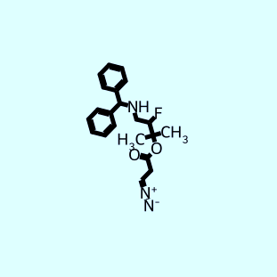 CC(C)(OC(=O)CC=[N+]=[N-])C(F)CNC(c1ccccc1)c1ccccc1